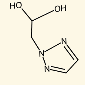 OC(O)Cn1nccn1